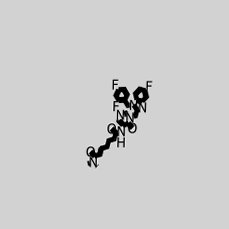 CN(C)C(=O)/C=C/CCCC(=O)Nc1cncn(Cc2nc3cc(F)ccc3n2Cc2ccc(F)cc2F)c1=O